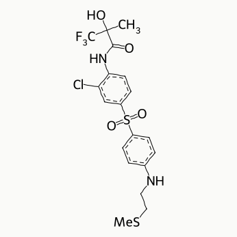 CSCCNc1ccc(S(=O)(=O)c2ccc(NC(=O)C(C)(O)C(F)(F)F)c(Cl)c2)cc1